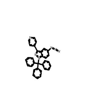 [N-]=[N+]=Nc1ccc2c(c1)c(-c1ccncc1)nn2C(c1ccccc1)(c1ccccc1)c1ccccc1